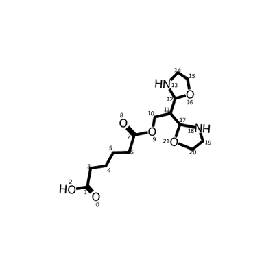 O=C(O)CCCCC(=O)OCC(C1NCCO1)C1NCCO1